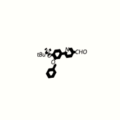 CC(C)(C)[Si](C)(C)Oc1ccc(-c2ccc(C=O)cn2)cc1OCc1ccccc1